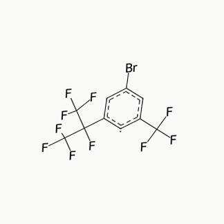 FC(F)(F)c1[c]c(C(F)(C(F)(F)F)C(F)(F)F)cc(Br)c1